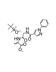 C=C(NC(=O)[C@H](CO[Si](C)(C)C(C)(C)C)NC(=O)c1cnn(-c2ccccc2)c1)C(=O)OC